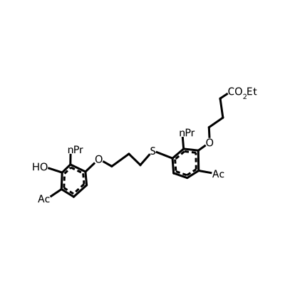 CCCc1c(OCCCSc2ccc(C(C)=O)c(OCCCC(=O)OCC)c2CCC)ccc(C(C)=O)c1O